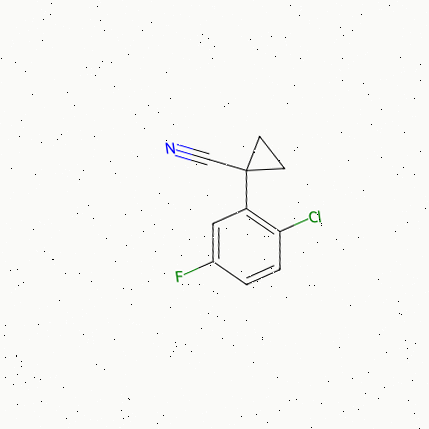 N#CC1(c2cc(F)ccc2Cl)CC1